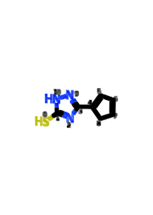 Sc1nc(C2=CC=CC2)n[nH]1